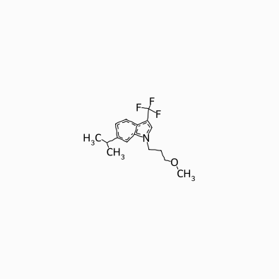 COCCCn1cc(C(F)(F)F)c2ccc(C(C)C)cc21